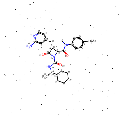 COc1ccc(N(C)C(=O)[C@@H]2[C@@H](Cc3ccnc(N)c3)C(=O)N2C(=O)N[C@@H](C2CCCCC2)C(F)(F)F)cc1